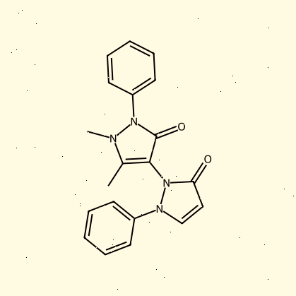 Cc1c(-n2c(=O)ccn2-c2ccccc2)c(=O)n(-c2ccccc2)n1C